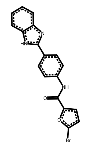 O=C(Nc1ccc(-c2nc3ccccc3[nH]2)cc1)c1ccc(Br)o1